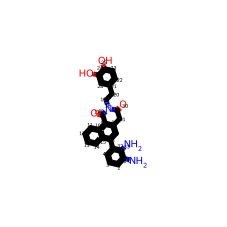 Nc1cccc(-c2cc3c(c4ccccc24)C(=O)N(CCc2ccc(O)c(O)c2)C(=O)C3)c1N